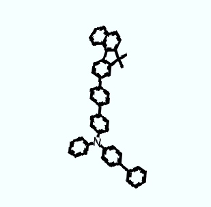 CC1(C)c2cc(-c3ccc(-c4ccc(N(c5ccccc5)c5ccc(-c6ccccc6)cc5)cc4)cc3)ccc2-c2c1ccc1ccccc21